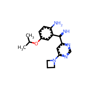 CC(C)Oc1ccc(N)c(C(=N)c2cc(N3CCC3)ncn2)c1